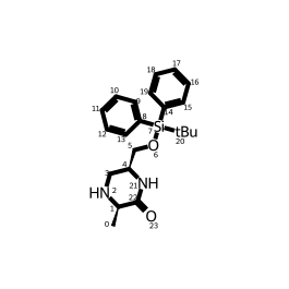 C[C@H]1NC[C@@H](CO[Si](c2ccccc2)(c2ccccc2)C(C)(C)C)NC1=O